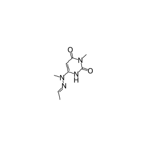 CC=NN(C)c1cc(=O)n(C)c(=O)[nH]1